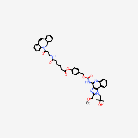 CCOCc1nc2c(NC(=O)OCc3ccc(OC(=O)CCCCC(=O)NCCC(=O)N4Cc5ccccc5C#Cc5ccccc54)cc3)nc3ccccc3c2n1CC(C)(C)O